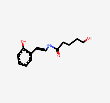 O=C(CCCCO)NC=Cc1ccccc1O